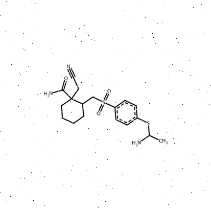 CC(N)Sc1ccc(S(=O)(=O)CC2CCCCC2(CC#N)C(N)=O)cc1